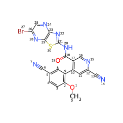 COc1ccc(C#N)cc1-c1cc(C#N)ncc1C(=O)Nc1nc2ncc(Br)nc2s1